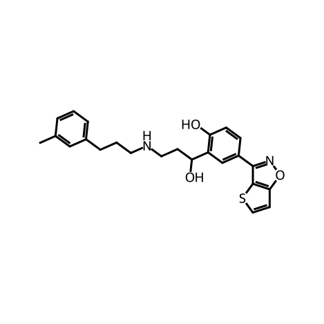 Cc1cccc(CCCNCCC(O)c2cc(-c3noc4ccsc34)ccc2O)c1